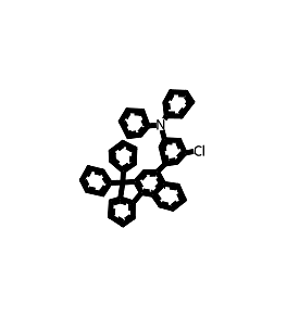 Clc1cc(-c2cc3c(c4ccccc24)-c2ccccc2C3(c2ccccc2)c2ccccc2)cc(N(c2ccccc2)c2ccccc2)c1